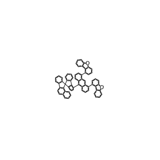 c1ccc2c(c1)-c1ccc3ccccc3c1C21c2ccccc2-c2c(-c3c4cccc(-c5cccc6oc7ccccc7c56)c4cc4c(-c5cccc6oc7ccccc7c56)cccc34)cccc21